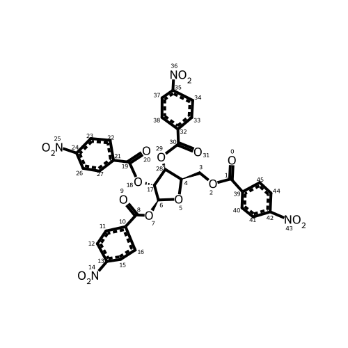 O=C(OC[C@H]1O[C@@H](OC(=O)c2ccc([N+](=O)[O-])cc2)[C@H](OC(=O)c2ccc([N+](=O)[O-])cc2)[C@@H]1OC(=O)c1ccc([N+](=O)[O-])cc1)c1ccc([N+](=O)[O-])cc1